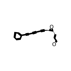 O=CC=C[C@H]1O[C@@H]1C#CC#CC#Cc1ccccc1